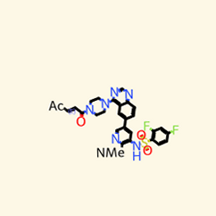 CNc1ncc(-c2ccc3ncnc(N4CCN(C(=O)/C=C/C(C)=O)CC4)c3c2)cc1NS(=O)(=O)c1ccc(F)cc1F